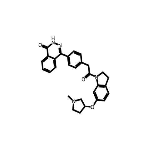 CN1CC[C@H](Oc2ccc3c(c2)N(C(=O)Cc2ccc(-c4n[nH]c(=O)c5ccccc45)cc2)CC3)C1